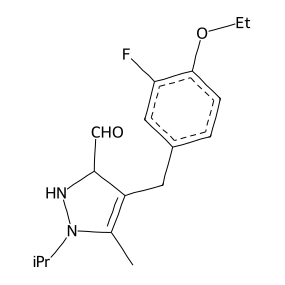 CCOc1ccc(CC2=C(C)N(C(C)C)NC2C=O)cc1F